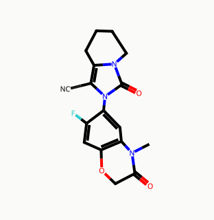 CN1C(=O)COc2cc(F)c(-n3c(C#N)c4n(c3=O)CCCC4)cc21